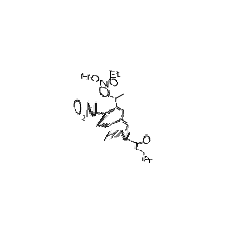 CCON(O)OC(C)c1cc(CNC(=O)CCC(C)C)ccc1[N+](=O)[O-]